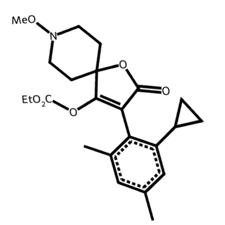 CCOC(=O)OC1=C(c2c(C)cc(C)cc2C2CC2)C(=O)OC12CCN(OC)CC2